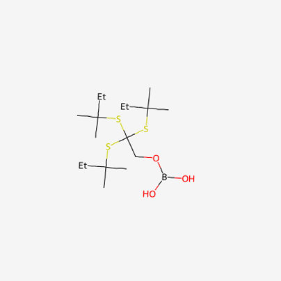 CCC(C)(C)SC(COB(O)O)(SC(C)(C)CC)SC(C)(C)CC